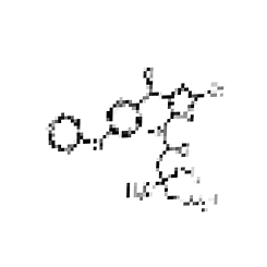 CCc1cc(C(=O)c2ccc(Oc3ccccc3)cc2)c(NC(=O)CC(C)(C)CC(=O)O)s1